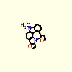 Cn1c2cccc3c4ccoc4n4c5ccoc5c5ccc1c(c32)c54